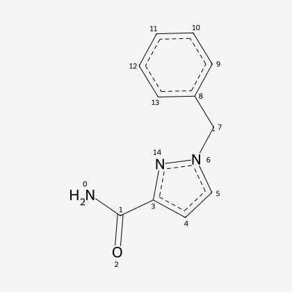 NC(=O)c1ccn([CH]c2ccccc2)n1